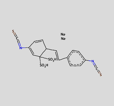 O=S(=O)(O)C1(S(=O)(=O)O)C=C(N=C=S)C=CC1C=Cc1ccc(N=C=S)cc1.[Na].[Na]